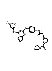 Cc1cc(Nc2nc(Sc3ccc(NC(=O)CN4CCC(C(=O)N5CCCC5)C4)cc3)nc3cccn23)n[nH]1